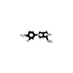 CC(C)(C)C1NCC2CN(c3ccc(N)c(F)c3)CC21